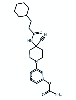 N#CC1(NC(=O)[CH]CC2CCCCC2)CCN(c2cccc(OC(N)=O)c2)CC1